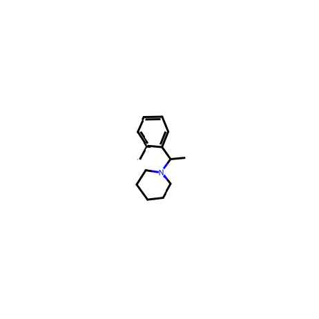 [CH2]c1ccccc1C(C)N1CCCCC1